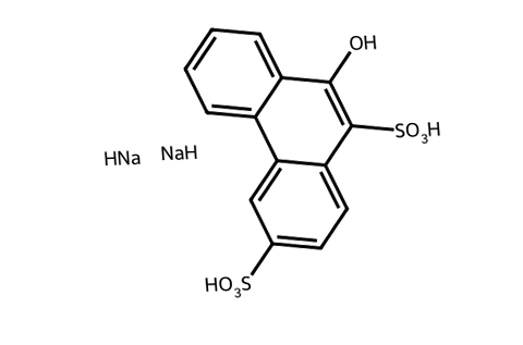 O=S(=O)(O)c1ccc2c(S(=O)(=O)O)c(O)c3ccccc3c2c1.[NaH].[NaH]